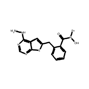 CCN(O)C(=O)c1ccccc1Cc1cc2c(NN)ncnc2s1